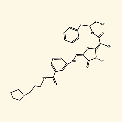 CCn1c(=C(C#N)C(=O)N[C@H](CO)Cc2ccccc2)sc(=CNc2cccc(C(=O)NCCCN3CCCC3)c2)c1=O